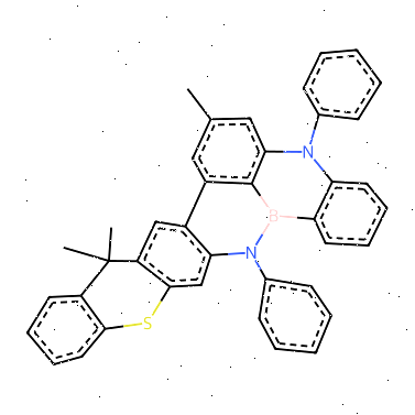 Cc1cc2c3c(c1)N(c1ccccc1)c1ccccc1B3N(c1ccccc1)c1cc3c(cc1-2)C(C)(C)c1ccccc1S3